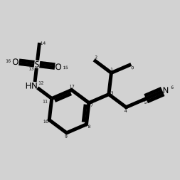 CC(C)C(CC#N)C1=CCCC(NS(C)(=O)=O)=C1